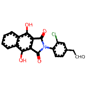 O=CCc1ccc(N2C(=O)c3c(c(O)c4ccccc4c3O)C2=O)c(Cl)c1